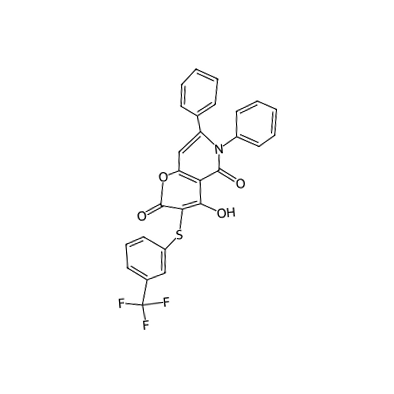 O=c1oc2cc(-c3ccccc3)n(-c3ccccc3)c(=O)c2c(O)c1Sc1cccc(C(F)(F)F)c1